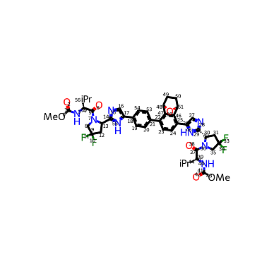 COC(=O)N[C@H](C(=O)N1CC(F)(F)CC1c1ncc(-c2ccc(-c3ccc(-c4cnc([C@@H]5CC(F)(F)CN5C(=O)[C@@H](NC(=O)OC)C(C)C)[nH]4)c4c3C3CCC4O3)cc2)[nH]1)C(C)C